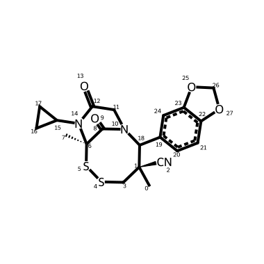 C[C@]1(C#N)CSS[C@]2(C)C(=O)N(CC(=O)N2C2CC2)C1c1ccc2c(c1)OCO2